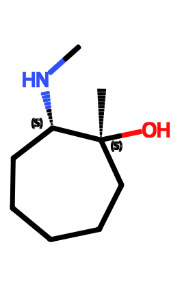 CN[C@H]1CCCCC[C@]1(C)O